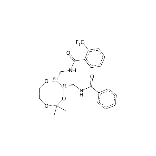 CC1(C)OCCO[C@H](CNC(=O)c2ccccc2C(F)(F)F)[C@H](CNC(=O)c2ccccc2)O1